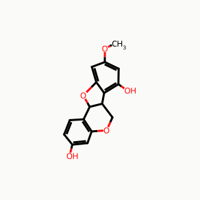 COc1cc(O)c2c(c1)OC1c3ccc(O)cc3OCC21